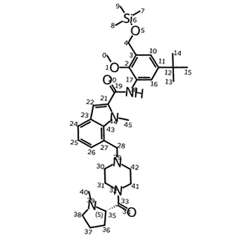 COc1c(CO[Si](C)(C)C)cc(C(C)(C)C)cc1NC(=O)c1cc2cccc(CN3CCN(C(=O)[C@@H]4CCCN4C)CC3)c2n1C